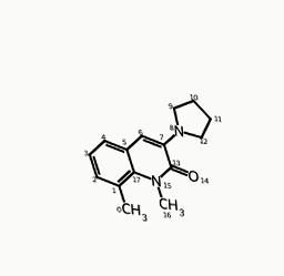 Cc1cccc2cc(N3CCCC3)c(=O)n(C)c12